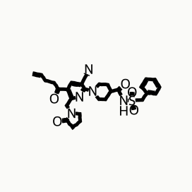 C=CCCC(=O)c1cc(C#N)c(N2CCC(C(=O)NS(=O)(=O)Cc3ccccc3)CC2)nc1CN1CCCC1=O